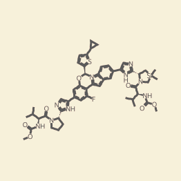 COC(=O)N[C@H](C(=O)N1CCC[C@H]1c1ncc(-c2cc(F)c3c(c2)O[C@@H](c2ccc(C4CC4)s2)n2c-3cc3cc(-c4cnc([C@@H]5C[Si](C)(C)CN5C(=O)[C@@H](NC(=O)OC)C(C)C)[nH]4)ccc32)[nH]1)C(C)C